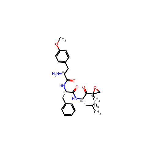 COc1ccc(C[C@H](N)C(=O)N[C@@H](Cc2ccccc2)C(=O)N[C@@H](CC(C)C)C(=O)[C@@]2(C)CO2)cc1